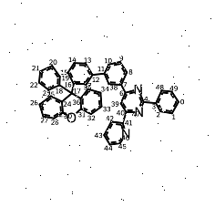 c1ccc(-c2nc(-c3cccc(-c4cccc(C5(c6ccccc6)c6ccccc6Oc6ccccc65)c4)c3)cc(-c3ccccn3)n2)cc1